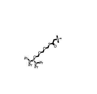 CC(C)N(C(C)C)P(OCOCOCSC(=O)C[N+](C)(C)C)N(C(C)C)C(C)C